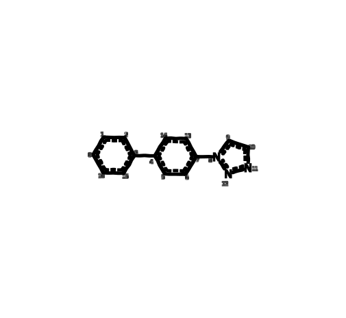 c1ccc(-c2ccc(-n3ccnn3)cc2)cc1